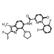 Cn1c(C(F)F)nc2c(N3CCCC3)c(NC(=O)c3ccc(=O)n(-c4c(F)cccc4F)n3)ccc21